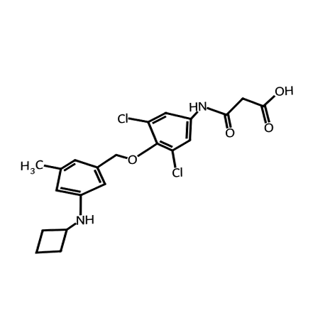 Cc1cc(COc2c(Cl)cc(NC(=O)CC(=O)O)cc2Cl)cc(NC2CCC2)c1